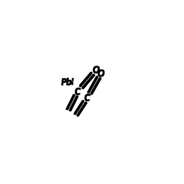 C=C=O.C=C=O.[Pb]